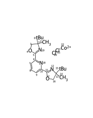 CC(C)(C)C1(C)COC(c2cccc(C3=NC(C)(C(C)(C)C)CO3)n2)=N1.[Cl-].[Cl-].[Co+2]